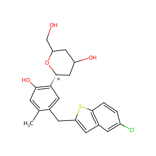 Cc1cc(O)c([C@H]2CC(O)CC(CO)O2)cc1Cc1cc2cc(Cl)ccc2s1